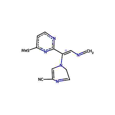 C=N/C=C(/c1nccc(SC)n1)N1C=C(C#N)N=CC1